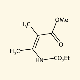 CCOC(=O)NC(C)=C(C)C(=O)OC